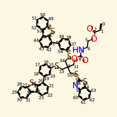 C=CC(=O)OCCNC(=O)OCC(CSc1cccc(-c2cccc3c2sc2ccccc23)c1)(CSc1cccc(-c2cccc3c2sc2ccccc23)c1)CSc1nc2ccccc2s1